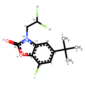 CC(C)(C)c1cc(F)c2oc(=O)n(CC(F)F)c2c1